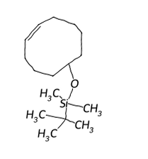 CC(C)(C)[Si](C)(C)OC1CCCC=CCCCC1